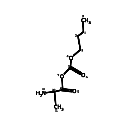 CCCCOC(=O)OC(=O)C(C)N